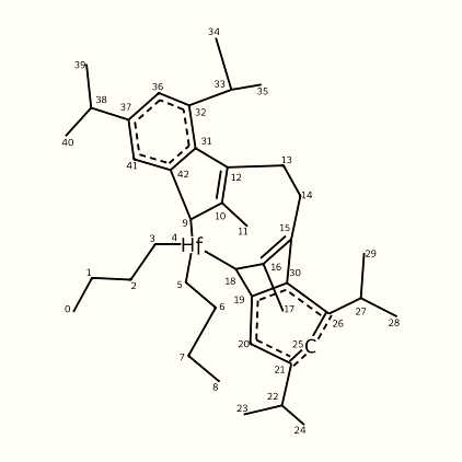 CCC[CH2][Hf]1([CH2]CCC)[CH]2C(C)=C(CCC3=C(C)[CH]1c1cc(C(C)C)cc(C(C)C)c13)c1c(C(C)C)cc(C(C)C)cc12